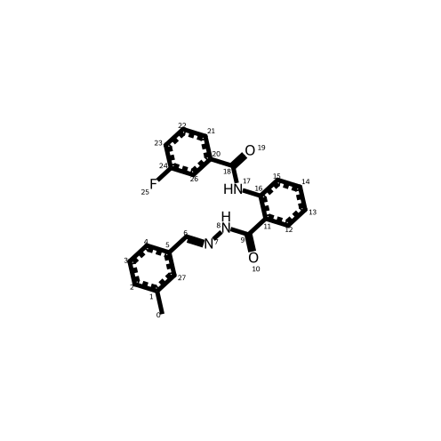 Cc1cccc(C=NNC(=O)c2ccccc2NC(=O)c2cccc(F)c2)c1